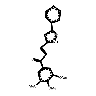 COc1cc(C(=O)C=Cc2cc(-c3ccccc3)n[nH]2)cc(OC)c1OC